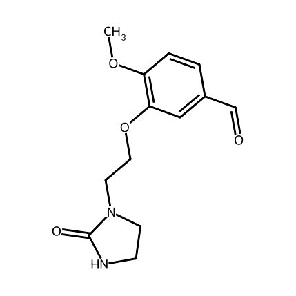 COc1ccc(C=O)cc1OCCN1CCNC1=O